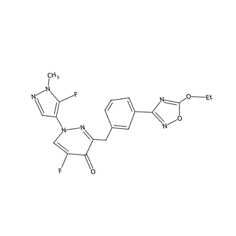 CCOc1nc(-c2cccc(Cc3nn(-c4cnn(C)c4F)cc(F)c3=O)c2)no1